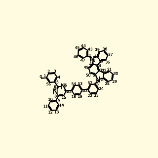 Cc1cccc(-c2nc(-c3ccccc3)cc(-c3ccc(-c4cccc(-n5c6ccccc6c6c7c8ccccc8n(-c8ccccc8)c7ccc65)c4)cc3)n2)c1